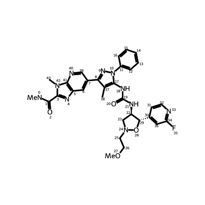 CNC(=O)c1nc2cc(-c3nn(-c4ccccc4)c(NC(=O)N[C@@H]4CN(CCOC)O[C@H]4c4ccnc(F)c4)c3C)cnc2n1C